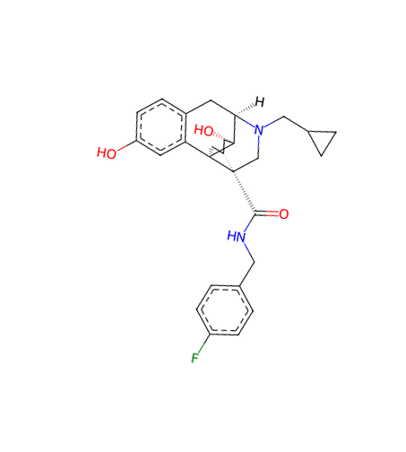 O=C(NCc1ccc(F)cc1)[C@@H]1C[C@]23CCN(CC4CC4)[C@H](Cc4ccc(O)cc42)[C@]3(O)C1